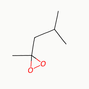 CC(C)CC1(C)OO1